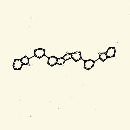 c1cc(-c2ccc3sc4c5cc(-c6cccc(-c7cc8ccccc8o7)c6)ccc5sc4c3c2)cc(-c2cc3ccccc3o2)c1